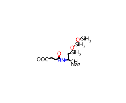 CC(C[SiH2]O[SiH2]O[SiH3])NC(=O)CCC(=O)[O-].[Na+]